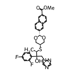 COC(=O)c1ccc2cc([C@H]3OC[C@H](S[C@H](C)[C@](O)(Cn4cncn4)c4ccc(F)cc4F)CO3)ccc2c1